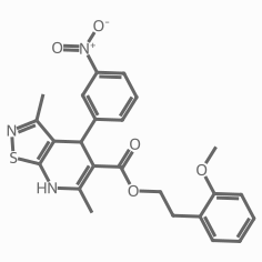 COc1ccccc1CCOC(=O)C1=C(C)Nc2snc(C)c2C1c1cccc([N+](=O)[O-])c1